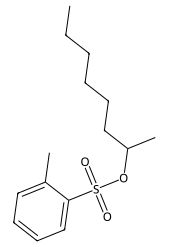 CCCCCCC(C)OS(=O)(=O)c1ccccc1C